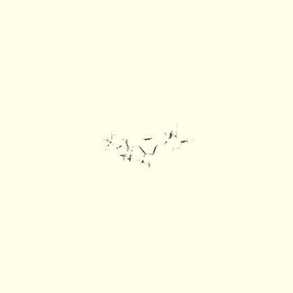 O=C1COC(c2ccc(-n3ncc(C(F)(F)F)n3)c(C(F)(F)F)c2)=NN1